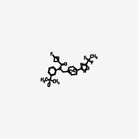 CC(F)(F)c1nc(C23CCC(CN(C(=O)C45CC(F)(C4)C5)c4cccc(P(C)(C)=O)c4)(CC2)CC3)no1